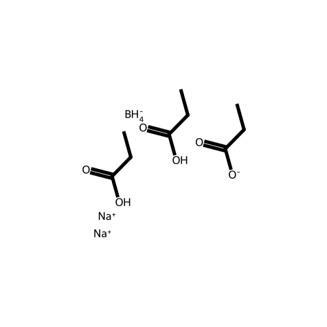 CCC(=O)O.CCC(=O)O.CCC(=O)[O-].[BH4-].[Na+].[Na+]